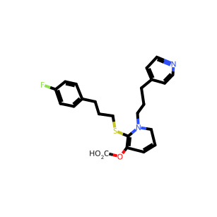 O=C(O)OC1=C(SCCCc2ccc(F)cc2)N(CCCc2ccncc2)CC=C1